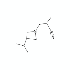 CC(C#N)CN1CC(C(C)C)C1